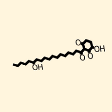 CCCCCC(O)CCCCCCCCCCCC(=O)C1C(=O)CCC(O)C1=O